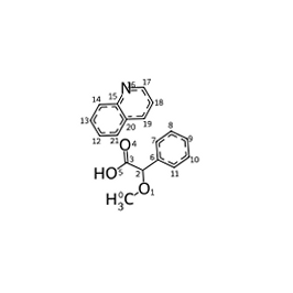 COC(C(=O)O)c1ccccc1.c1ccc2ncccc2c1